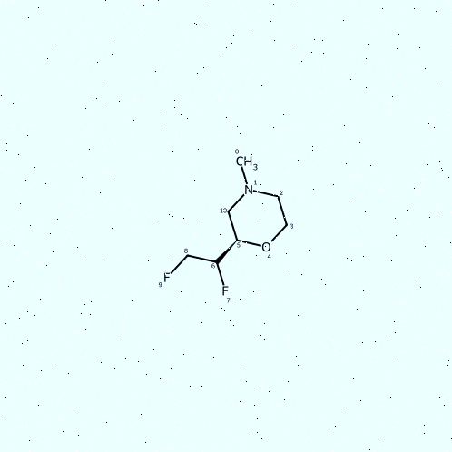 CN1CCO[C@@H](C(F)CF)C1